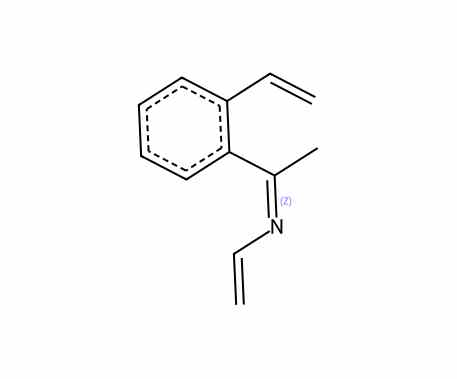 C=C/N=C(/C)c1ccccc1C=C